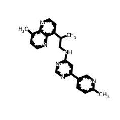 Cc1ccc(-c2cc(NCC(C)c3ccnc4c(C)ccnc34)ncn2)cn1